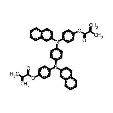 C=C(C)C(=O)Oc1ccc(N(c2ccc(N(c3ccc(OC(=O)C(=C)C)cc3)c3ccc4ccccc4c3)cc2)c2ccc3ccccc3c2)cc1